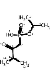 CC(C)OP(=O)(O)CC(=O)C(C)C